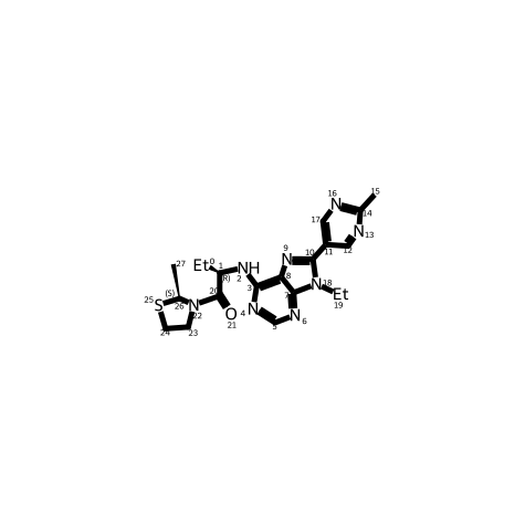 CC[C@@H](Nc1ncnc2c1nc(-c1cnc(C)nc1)n2CC)C(=O)N1CCS[C@H]1C